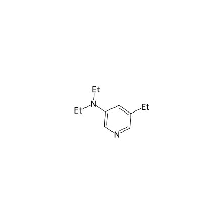 CCc1cncc(N(CC)CC)c1